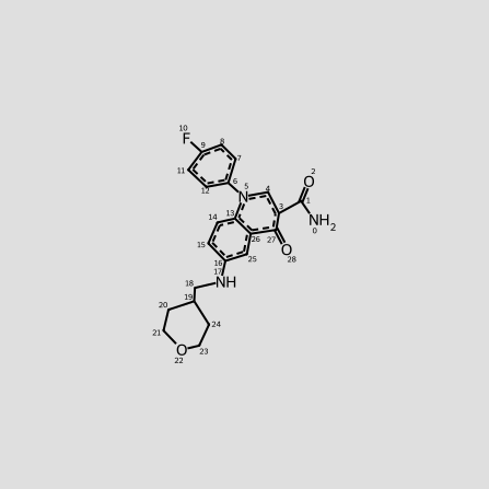 NC(=O)c1cn(-c2ccc(F)cc2)c2ccc(NCC3CCOCC3)cc2c1=O